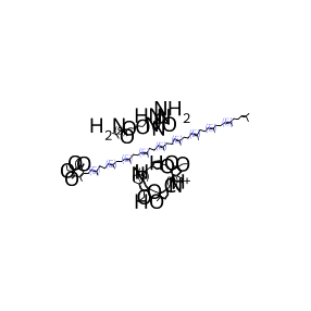 CC(C)[C@H](N)C(=O)OCCOCn1cnc2c(=O)nc(N)[nH]c21.COC1=C(OC)C(=O)C(C/C=C(\C)CC/C=C(\C)CC/C=C(\C)CC/C=C(\C)CC/C=C(\C)CC/C=C(\C)CC/C=C(\C)CC/C=C(\C)CC/C=C(\C)CCC=C(C)C)=C(C)C1=O.COc1cc2c3cc1Oc1cc(ccc1O)C[C@@H]1c4c(cc(OC)c(O)c4Oc4ccc(cc4)C[C@@H]3N(C)CC2)CC[N+]1(C)C